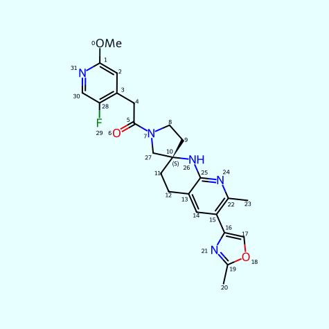 COc1cc(CC(=O)N2CC[C@@]3(CCc4cc(-c5coc(C)n5)c(C)nc4N3)C2)c(F)cn1